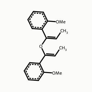 CC=C(OC(=CC)c1ccccc1OC)c1ccccc1OC